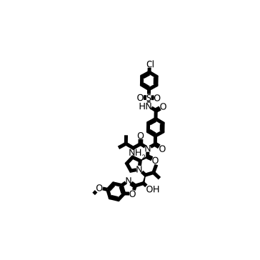 COc1ccc2oc(C(O)[C@H](C(C)C)N3CCC[C@H]3C(=O)N(C(=O)c3ccc(C(=O)NS(=O)(=O)c4ccc(Cl)cc4)cc3)C(=O)[C@@H](N)C(C)C)nc2c1